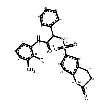 Cc1cccc(NC(=O)C(NS(=O)(=O)c2ccc3c(c2)CCC(=O)N3)c2ccccc2)c1C